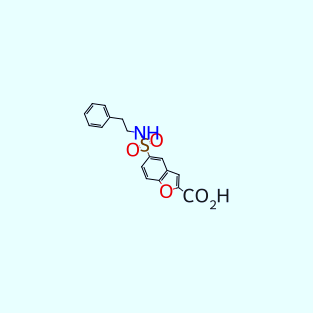 O=C(O)c1cc2cc(S(=O)(=O)NCCc3ccccc3)ccc2o1